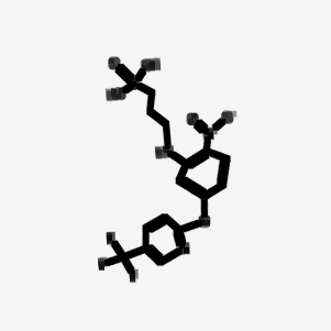 O=[N+]([O-])c1ccc(Oc2ccc(C(F)(F)F)cn2)cc1NCCCP(=O)(O)O